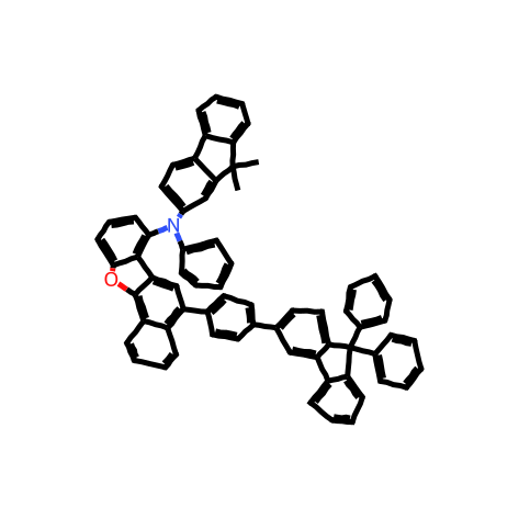 CC1(C)c2ccccc2-c2ccc(N(c3ccccc3)c3cccc4oc5c6ccccc6c(-c6ccc(-c7ccc8c(c7)-c7ccccc7C8(c7ccccc7)c7ccccc7)cc6)cc5c34)cc21